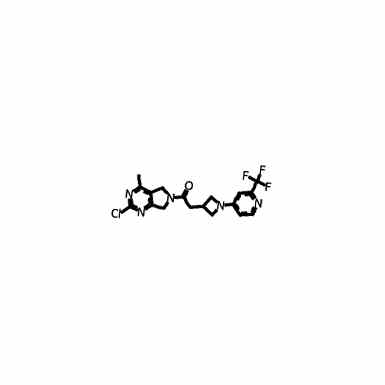 Cc1nc(Cl)nc2c1CN(C(=O)CC1CN(c3ccnc(C(F)(F)F)c3)C1)C2